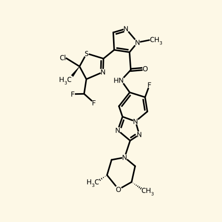 C[C@@H]1CN(c2nc3cc(NC(=O)c4c(C5=NC(C(F)F)[C@](C)(Cl)S5)cnn4C)c(F)cn3n2)C[C@H](C)O1